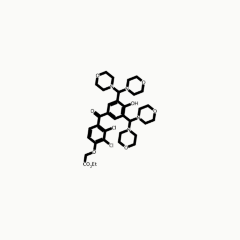 CCOC(=O)COc1ccc(C(=O)c2cc(C(N3CCOCC3)N3CCOCC3)c(O)c(C(N3CCOCC3)N3CCOCC3)c2)c(Cl)c1Cl